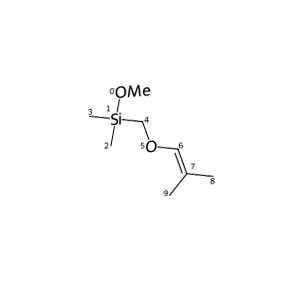 CO[Si](C)(C)COC=C(C)C